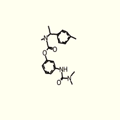 Cc1ccc(C(C)N(C)C(=O)Oc2cccc(NC(=O)N(C)C)c2)cc1